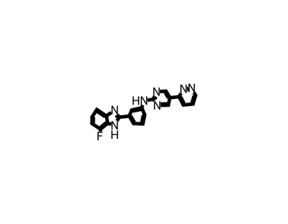 Fc1cccc2nc(-c3cccc(Nc4ncc(-c5cccnn5)cn4)c3)[nH]c12